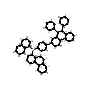 c1ccc(-c2c(-c3ccccc3)c3cc(-c4ccc(N(c5cccc6ccccc56)c5cccc6c5ccc5ccccc56)cc4)ccc3c3ccccc23)cc1